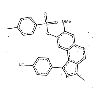 COc1cc2ncc3c(c(-c4ccc(C#N)cc4)nn3C)c2cc1OS(=O)(=O)c1ccc(C)cc1